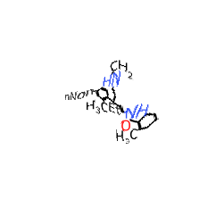 C=CNCCC(CC)(CCNC(=O)C1=C(C)CCCC1)c1ccc(CCCCCCCCC)cc1C